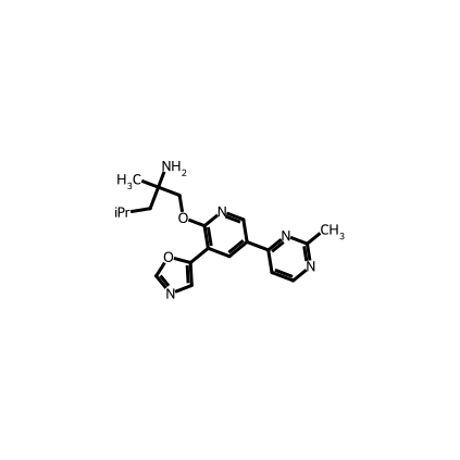 Cc1nccc(-c2cnc(OCC(C)(N)CC(C)C)c(-c3cnco3)c2)n1